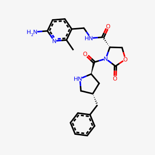 Cc1nc(N)ccc1CNC(=O)[C@@H]1COC(=O)N1C(=O)[C@H]1C[C@H](Cc2ccccc2)CN1